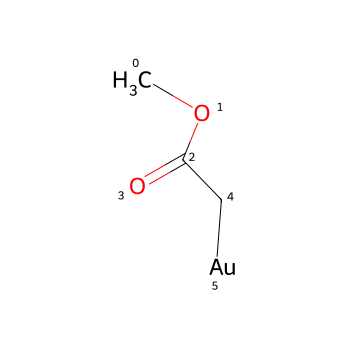 COC(=O)[CH2][Au]